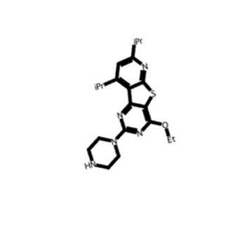 CCOc1nc(N2CCNCC2)nc2c1sc1nc(C(C)C)cc(C(C)C)c12